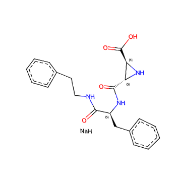 O=C(NCCc1ccccc1)[C@H](Cc1ccccc1)NC(=O)[C@H]1N[C@@H]1C(=O)O.[NaH]